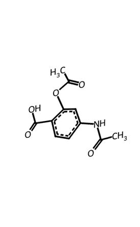 CC(=O)Nc1ccc(C(=O)O)c(OC(C)=O)c1